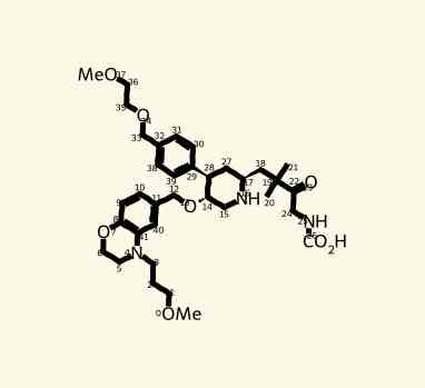 COCCCN1CCOc2ccc(CO[C@H]3CN[C@H](CC(C)(C)C(=O)CNC(=O)O)C[C@@H]3c3ccc(COCCOC)cc3)cc21